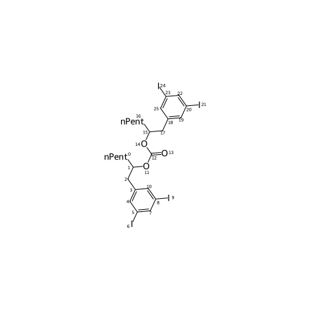 CCCCCC(Cc1cc(I)cc(I)c1)OC(=O)OC(CCCCC)Cc1cc(I)cc(I)c1